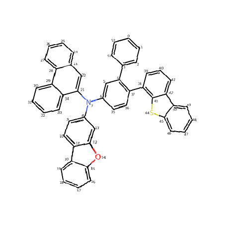 c1ccc(-c2cc(N(c3ccc4c(c3)oc3ccccc34)c3cc4ccccc4c4ccccc34)ccc2-c2cccc3c2sc2ccccc23)cc1